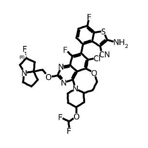 N#Cc1c(N)sc2c(F)ccc(-c3c(Cl)c4c5c(nc(OCC67CCCN6C[C@H](F)C7)nc5c3F)N3CCC(OC(F)F)CC3CCO4)c12